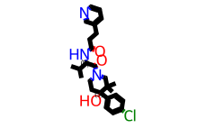 CC(C)[C@@H](NC(=O)CCc1cccnc1)C(=O)N1CC[C@](O)(c2ccc(Cl)cc2)C(C)(C)C1